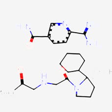 COC(=O)CNCC(=O)N1CCC[C@]1(C(=O)O)C1CCCCC1.N=C(N)c1ccc(C(N)=O)cn1